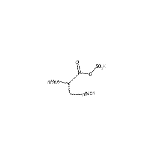 CCCCCCCCCCC(CCCCCC)C(=O)OS(=O)(=O)O